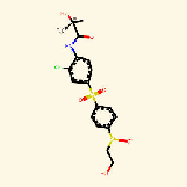 C[C@@](O)(C(=O)Nc1ccc(S(=O)(=O)c2ccc([S+]([O-])CCO)cc2)cc1Cl)C(F)(F)F